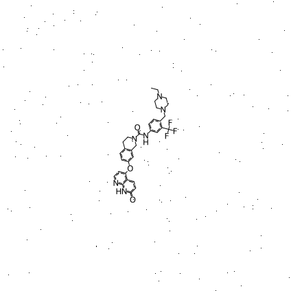 CCN1CCN(Cc2ccc(NC(=O)N3CCc4ccc(Oc5ccnc6[nH]c(=O)ccc56)cc4C3)cc2C(F)(F)F)CC1